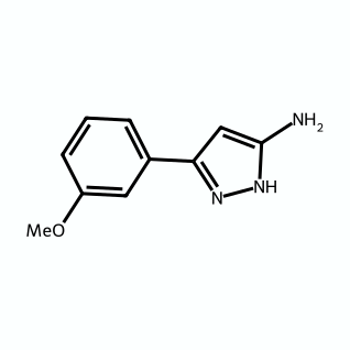 COc1cccc(-c2cc(N)[nH]n2)c1